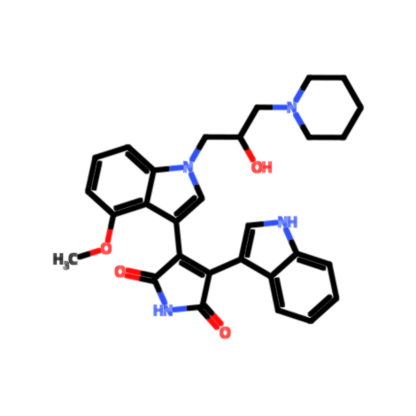 COc1cccc2c1c(C1=C(c3c[nH]c4ccccc34)C(=O)NC1=O)cn2CC(O)CN1CCCCC1